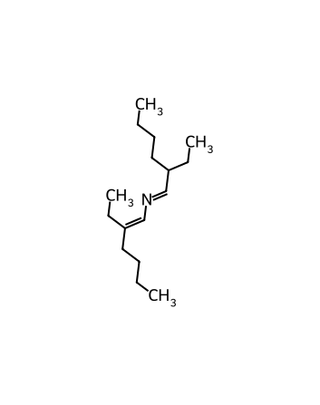 CCCCC(=CN=CC(CC)CCCC)CC